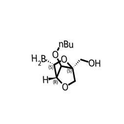 B[C@@H]1O[C@@]2(CO)CO[C@H]1C2OCCCC